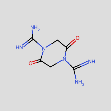 N=C(N)N1CC(=O)N(C(=N)N)CC1=O